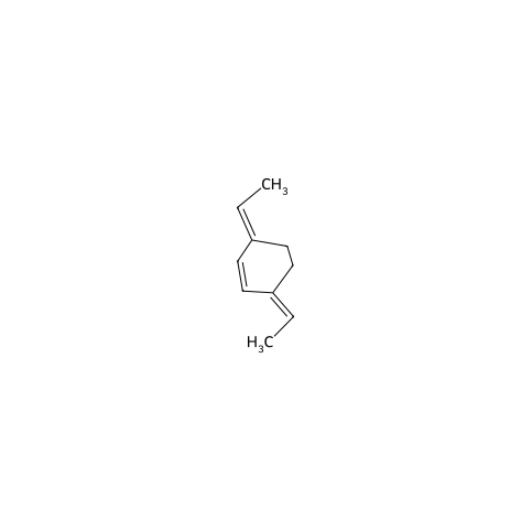 CC=C1C=CC(=CC)CC1